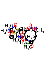 COc1cc2cc(c1Cl)N(C)C(=O)C[C@H](OC(=O)[C@H](C)N(C)C(=O)CCC(C)(C)SCC(=O)N(C)CCN(C)C(=O)O[C@H]1CCCC[C@@H]1SSC)[C@@]1(C)O[C@H]1[C@H](C)[C@@H]1C[C@@](O)(NC(=O)O1)[C@H](OC)/C=C/C=C(\C)C2